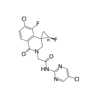 O=C(CN1CC2(C[C@H]2F)c2c(ccc(Cl)c2F)C1=O)Nc1ncc(Cl)cn1